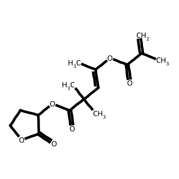 C=C(C)C(=O)O/C(C)=C/C(C)(C)C(=O)OC1CCOC1=O